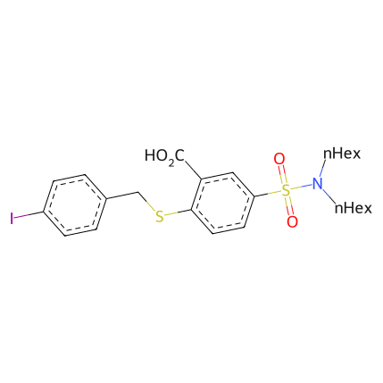 CCCCCCN(CCCCCC)S(=O)(=O)c1ccc(SCc2ccc(I)cc2)c(C(=O)O)c1